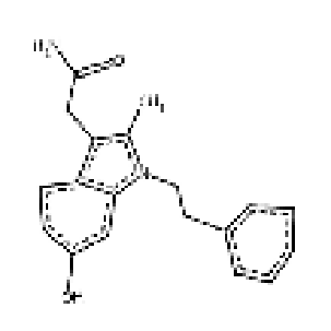 Cc1c(CC(N)=O)c2ccc(O)cc2n1CCc1ccccc1